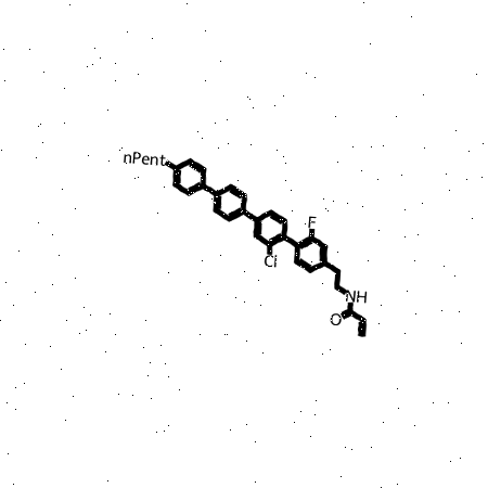 C=CC(=O)NCCc1ccc(-c2ccc(-c3ccc(-c4ccc(CCCCC)cc4)cc3)cc2Cl)c(F)c1